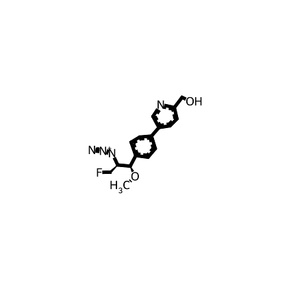 CO[C@H](c1ccc(-c2ccc(CO)nc2)cc1)[C@@H](CF)N=[N+]=[N-]